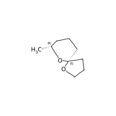 C[C@@H]1CCC[C@@]2(CCCO2)O1